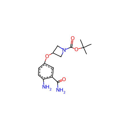 CC(C)(C)OC(=O)N1CC(Oc2ccc(N)c(C(N)=O)c2)C1